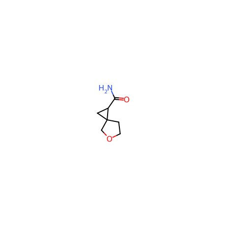 NC(=O)C1CC12CCOC2